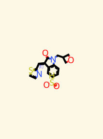 O=C1/C(=C/c2nccs2)c2cc([SH](=O)=O)ccc2N1CC1COC1